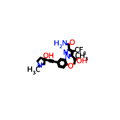 CN1CC[C@@](O)(C#Cc2ccc3c(c2)-n2nc(C(N)=O)c(C(F)(F)F)c2[C@](C)(O)CO3)C1